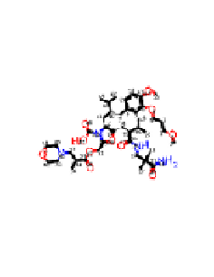 COCCCOc1cc(C[C@H](C[C@H]2[C@H](C[C@H](C(=O)NCC(C)(C)C(N)=O)C(C)C)OC(COC(=O)C(C)CN3CCOCC3)N2C(=O)O)C(C)C)ccc1OC